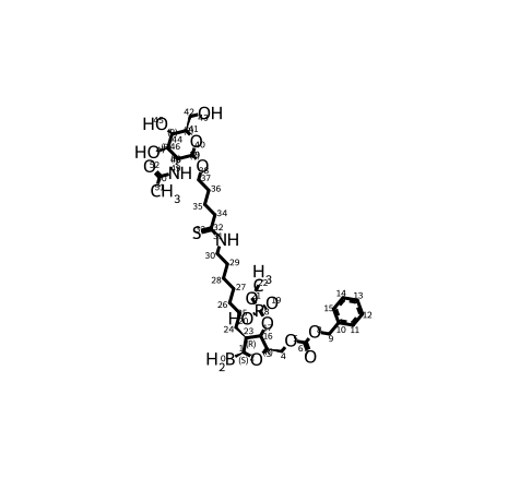 B[C@@H]1O[C@H](COC(=O)OCc2ccccc2)C(OP(=O)(O)OC)[C@@H]1CCCCCCCNC(=S)CCCCO[C@@H]1O[C@H](CO)[C@H](O)[C@H](O)[C@H]1NC(C)=O